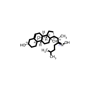 CC(C)CC/C(=N/O)[C@@H](C)[C@H]1CC[C@H]2[C@@H]3CC=C4C[C@@H](O)CC[C@]4(C)[C@H]3CC[C@]12C